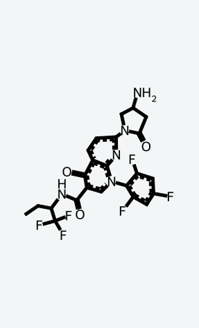 CCC(NC(=O)c1cn(-c2c(F)cc(F)cc2F)c2nc(N3CC(N)CC3=O)ccc2c1=O)C(F)(F)F